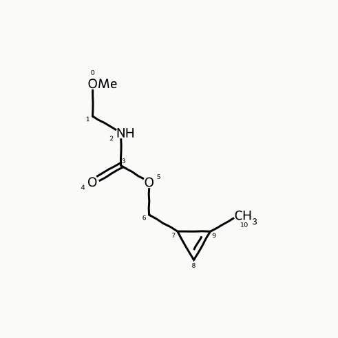 COCNC(=O)OCC1C=C1C